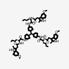 CCCC[C@H](NC(=O)Cc1c(C)[nH]c2ccc(OC)cc12)C(=O)Nc1ccc(C(c2ccc(NC(=O)[C@H](CCCC)NC(=O)Cc3c(C)[nH]c4ccc(OC)cc34)cc2)c2ccc(NC(=O)[C@H](CCCC)NC(=O)Cc3c(C)[nH]c4ccc(OC)cc34)cc2)cc1